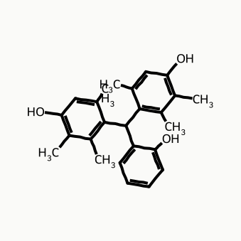 Cc1cc(O)c(C)c(C)c1C(c1ccccc1O)c1c(C)cc(O)c(C)c1C